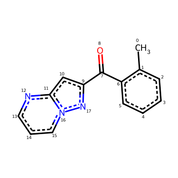 Cc1ccccc1C(=O)c1cc2ncccn2n1